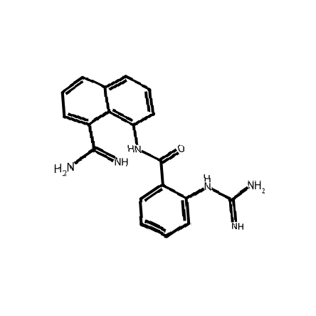 N=C(N)Nc1ccccc1C(=O)Nc1cccc2cccc(C(=N)N)c12